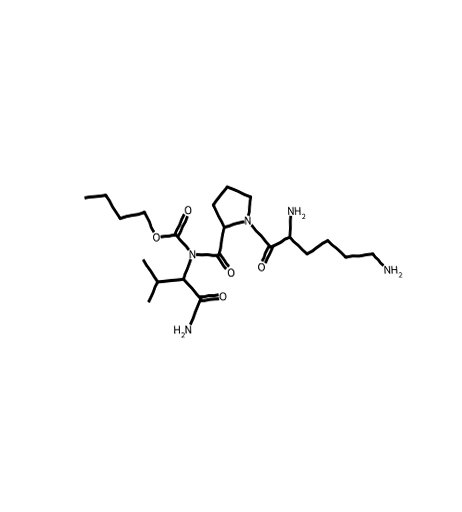 CCCCOC(=O)N(C(=O)C1CCCN1C(=O)C(N)CCCCN)C(C(N)=O)C(C)C